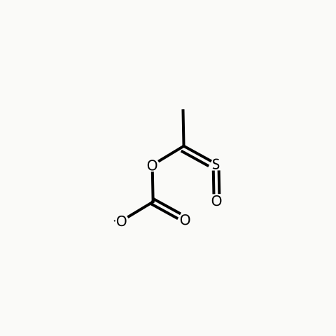 CC(OC([O])=O)=S=O